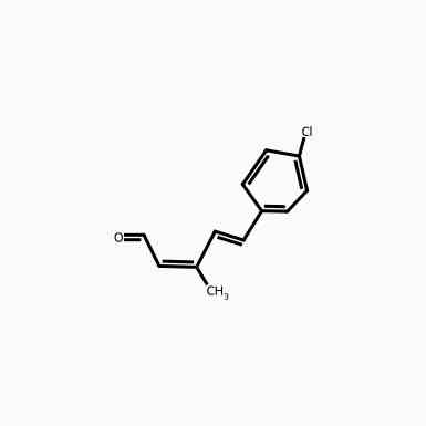 CC(=C/C=O)/C=C/c1ccc(Cl)cc1